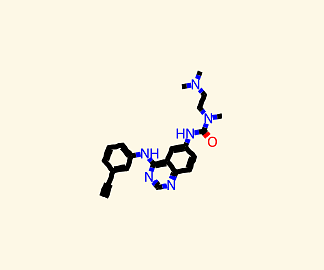 C#Cc1cccc(Nc2ncnc3ccc(NC(=O)N(C)CCN(C)C)cc23)c1